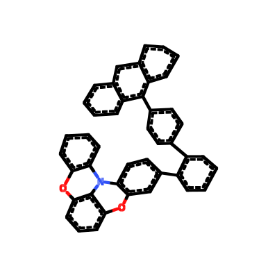 c1ccc2c(c1)Oc1cccc3c1N2c1ccc(-c2ccccc2-c2ccc(-c4c5ccccc5cc5ccccc45)cc2)cc1O3